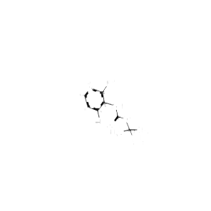 CC(C)(C)OC(=O)Nc1c(I)ccnc1F